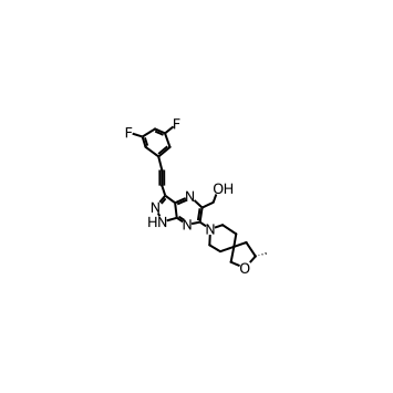 C[C@H]1CC2(CCN(c3nc4[nH]nc(C#Cc5cc(F)cc(F)c5)c4nc3CO)CC2)CO1